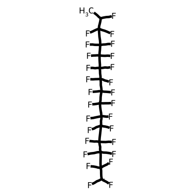 CC(F)C(F)(F)C(F)(F)C(F)(F)C(F)(F)C(F)(F)C(F)(F)C(F)(F)C(F)(F)C(F)(F)C(F)(F)C(F)(F)C(F)(F)[C](F)F